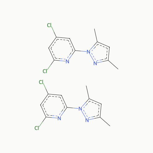 Cc1cc(C)n(-c2cc(Cl)cc(Cl)n2)n1.Cc1cc(C)n(-c2cc(Cl)cc(Cl)n2)n1